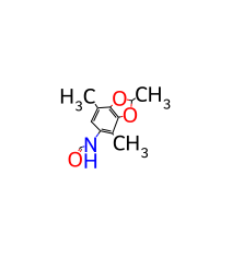 Cc1cc(NC=O)c(C)c2c1OC(C)O2